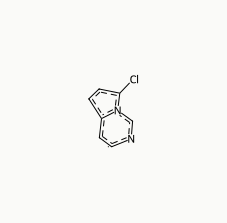 Clc1ccc2c[c]ncn12